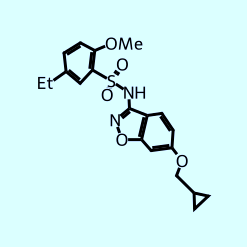 CCc1ccc(OC)c(S(=O)(=O)Nc2noc3cc(OCC4CC4)ccc23)c1